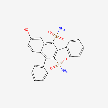 NS(=O)(=O)c1c(-c2ccccc2)c(S(N)(=O)=O)c2cc(O)ccc2c1-c1ccccc1